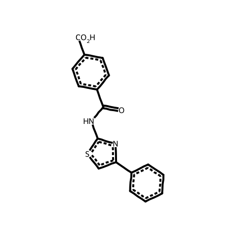 O=C(O)c1ccc(C(=O)Nc2nc(-c3ccccc3)cs2)cc1